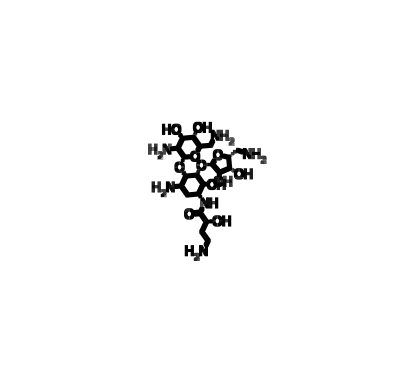 NCC[C@H](O)C(=O)N[C@@H]1CC(N)[C@@H](O[C@H]2OC(CN)[C@@H](O)[C@H](O)C2N)[C@H](O[C@@H]2O[C@H](CN)[C@H](O)C2O)C1O